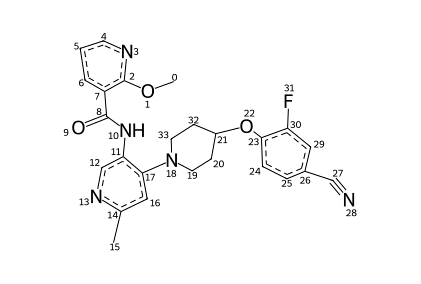 COc1ncccc1C(=O)Nc1cnc(C)cc1N1CCC(Oc2ccc(C#N)cc2F)CC1